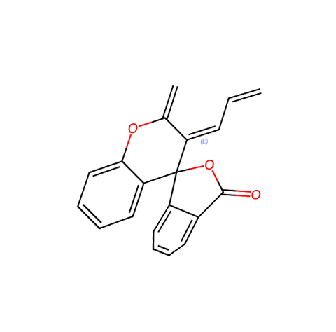 C=C/C=C1\C(=C)Oc2ccccc2C12OC(=O)c1ccccc12